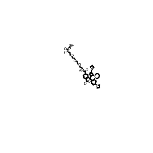 CC(C)(C)OC(=O)NCCOCCOCCOCCNC(=O)c1ccc2c(c1)C1(OC2=O)c2ccc(N3CCC3)cc2[Si]2(CCCCC2)c2cc(N3CCC3)ccc21